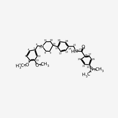 COc1ccc(CN2CCC(c3ccc(CNC(=O)c4ccc(N(C)C)cc4)cc3)CC2)cc1OC